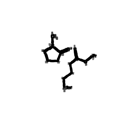 CCCCCCCCCCCCCC(=O)OC(C)C.CN1CCCC1=O